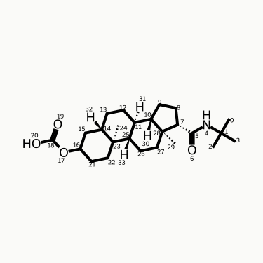 CC(C)(C)NC(=O)[C@H]1CC[C@H]2[C@@H]3CC[C@H]4CC(OC(=O)O)CC[C@]4(C)[C@H]3CC[C@]12C